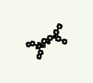 c1ccc(-c2ccc3c(c2)c2cc(-c4ccccc4)ccc2n3-c2ccc3c(c2)oc2cc(C4=NC(c5ccc6ccccc6c5)=NC(c5ccc6ccccc6c5)N4)ccc23)cc1